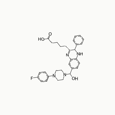 O=C(O)CCCCC1=Nc2cc(C(O)N3CCN(c4ccc(F)cc4)CC3)ccc2NC1c1ccccc1